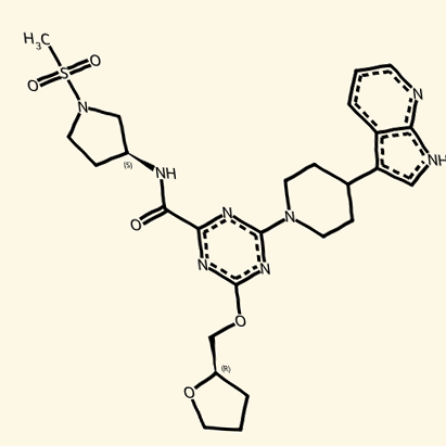 CS(=O)(=O)N1CC[C@H](NC(=O)c2nc(OC[C@H]3CCCO3)nc(N3CCC(c4c[nH]c5ncccc45)CC3)n2)C1